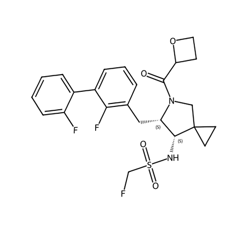 O=C(C1CCO1)N1CC2(CC2)[C@H](NS(=O)(=O)CF)[C@@H]1Cc1cccc(-c2ccccc2F)c1F